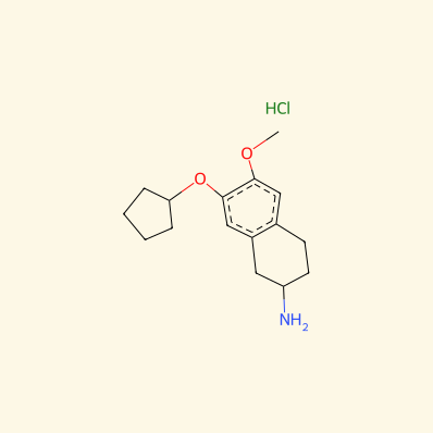 COc1cc2c(cc1OC1CCCC1)CC(N)CC2.Cl